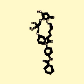 CC(O)(COc1ccccc1)CO[C@H]1[C@H](O)CC(=O)[C@@H]1C/C=C\CCCC(=O)Oc1ccc(NC(=O)c2ccccc2)cc1